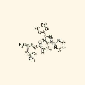 CCOC(OCC)c1nc(C(C)NC(=O)c2cc(C(F)(F)F)cc(C(F)(F)F)c2)n(-c2ncccn2)n1